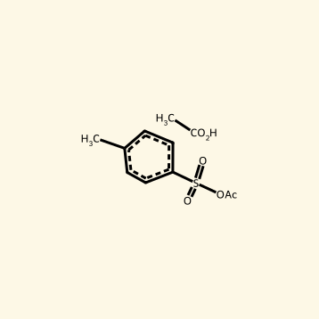 CC(=O)O.CC(=O)OS(=O)(=O)c1ccc(C)cc1